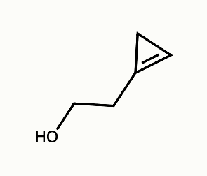 OCCC1=CC1